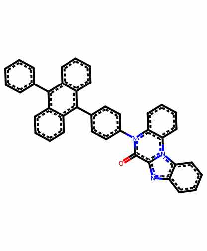 O=c1c2nc3ccccc3n2c2ccccc2n1-c1ccc(-c2c3ccccc3c(-c3ccccc3)c3ccccc23)cc1